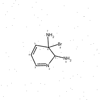 NC1N=CC=CC1(N)Br